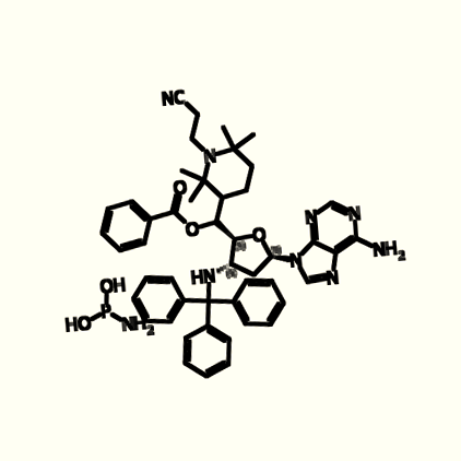 CC1(C)CCC(C(OC(=O)c2ccccc2)[C@H]2O[C@@H](n3cnc4c(N)ncnc43)C[C@@H]2NC(c2ccccc2)(c2ccccc2)c2ccccc2)C(C)(C)N1CCC#N.NP(O)O